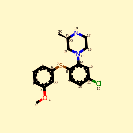 COc1cccc(Sc2ccc(Cl)cc2N2CC[N][C@H](C)C2)c1